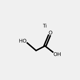 O=C(O)CO.[Ti]